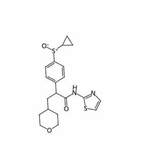 O=C(Nc1nccs1)C(CC1CCOCC1)c1ccc([S+]([O-])C2CC2)cc1